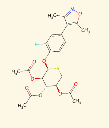 CC(=O)O[C@@H]1[C@@H](OC(C)=O)[C@@H](Oc2ccc(-c3c(C)noc3C)cc2F)SC[C@H]1OC(C)=O